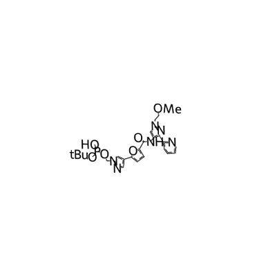 COCCn1cc(NC(=O)c2ccc(-c3cnn(COP(O)OC(C)(C)C)c3)o2)c(-c2ccccn2)n1